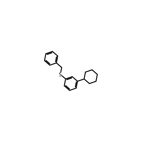 c1ccc(CSc2cccc(C3CCCCC3)c2)cc1